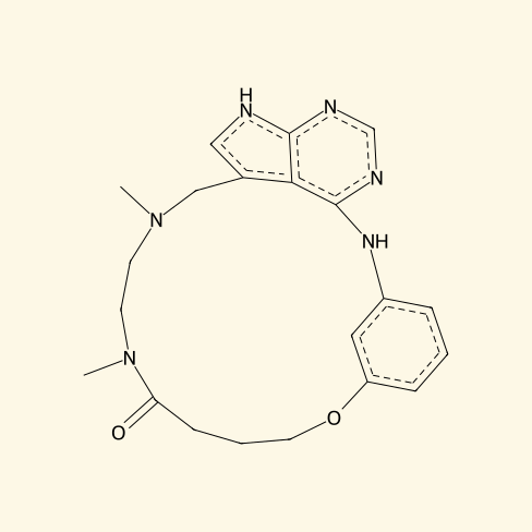 CN1CCN(C)C(=O)CCCOc2cccc(c2)Nc2ncnc3[nH]cc(c23)C1